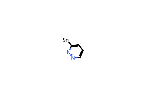 [Sn][c]1cccnn1